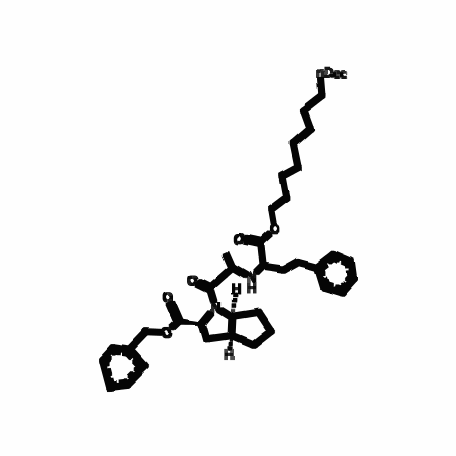 CCCCCCCCCCCCCCCCCCOC(=O)C(CCc1ccccc1)NC(C)C(=O)N1[C@H](C(=O)OCc2ccccc2)C[C@@H]2CCC[C@@H]21